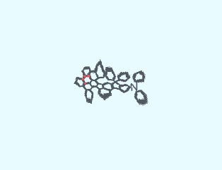 c1ccc(-c2ccccc2-c2c3c(c(-c4ccccc4-c4ccccc4)c4ccccc24)-c2cc4c(c5cccc-3c25)-c2ccc(N(c3ccccc3)c3ccccc3)cc2C4(c2ccccc2)c2ccccc2)cc1